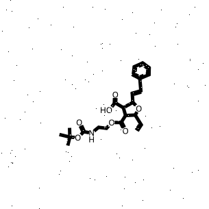 C=CC1OC(/C=C/c2ccccc2)C(C(=O)O)C1C(=O)OCCNC(=O)OC(C)(C)C